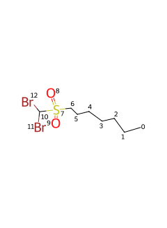 CCCCCCCS(=O)(=O)C(Br)Br